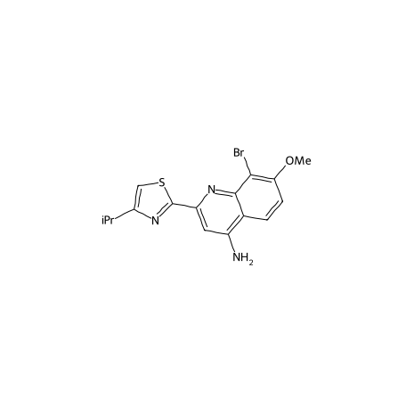 COc1ccc2c(N)cc(-c3nc(C(C)C)cs3)nc2c1Br